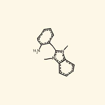 Cn1c(-c2ccccc2N)[n+](C)c2ccccc21